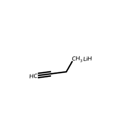 C#CCC.[LiH]